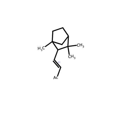 CC(=O)/C=C/C1C2(C)CCC(C2)C1(C)C